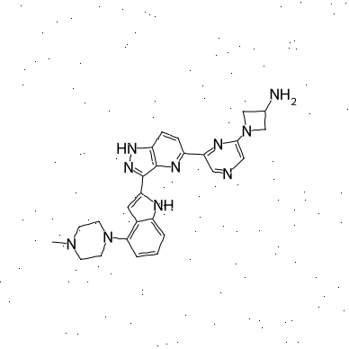 CN1CCN(c2cccc3[nH]c(-c4n[nH]c5ccc(-c6cncc(N7CC(N)C7)n6)nc45)cc23)CC1